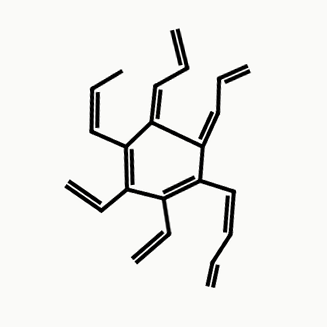 C=C/C=C\c1c(C=C)c(C=C)c(/C=C\C)c(=C/C=C)/c1=C\C=C